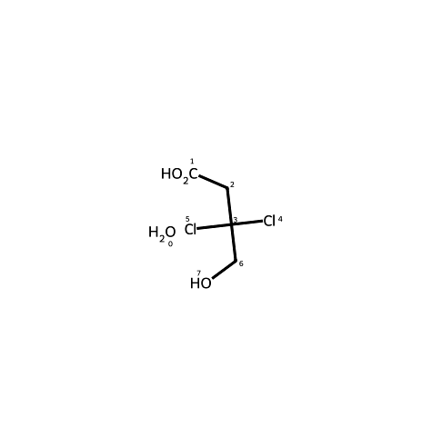 O.O=C(O)CC(Cl)(Cl)CO